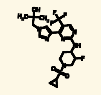 CC(C)(O)Cn1cnc(-c2nc(NC3CCN(S(=O)(=O)C4CC4)CC3F)ncc2C(F)(F)F)c1